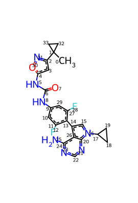 CC1(c2cc(NC(=O)Nc3cc(F)c(-c4cn(C5CC5)c5ncnc(N)c45)c(F)c3)on2)CC1